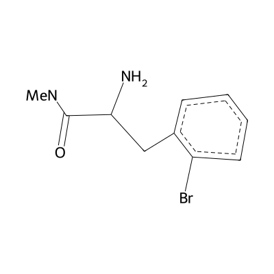 CNC(=O)C(N)Cc1ccccc1Br